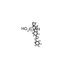 O=C(O)C[C@]1(c2ccc(OCc3ccccc3)cc2)C[C@H](C(F)(F)F)CN1